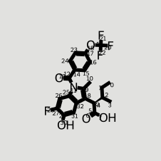 CCC(C)[C@@H](C(=O)O)c1c(C)n(C(=O)c2ccc(OC(F)(F)F)cc2)c2cc(F)c(O)cc12